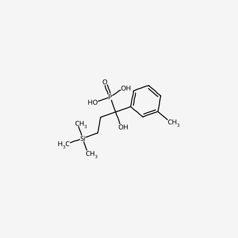 Cc1cccc(C(O)(CC[Si](C)(C)C)P(=O)(O)O)c1